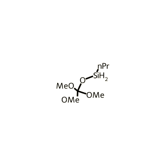 CCC[SiH2]OC(OC)(OC)OC